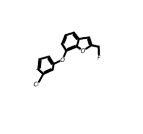 FCc1cc2cccc(Oc3cc[c]c(Cl)c3)c2o1